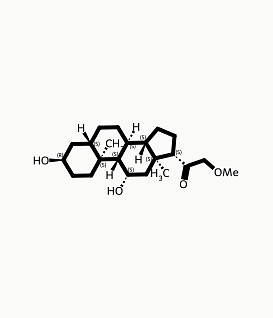 COCC(=O)[C@H]1CC[C@H]2[C@@H]3CC[C@H]4C[C@H](O)CC[C@]4(C)[C@H]3[C@@H](O)C[C@]12C